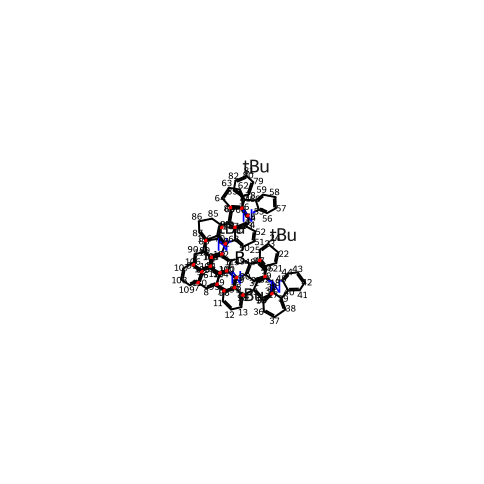 CC(C)(C)C1=CC=C(c2cccc(-c3cccc(-c4cccc(-c5ccc(C(C)(C)C)cc5)c4)c3N3c4cc(-n5c6ccccc6c6ccccc65)ccc4B4c5ccc(-n6c7ccccc7c7ccccc76)cc5N(C5=C(c6cccc(-c7ccc(C(C)(C)C)cc7)c6)CCC=C5C5C=CC=C(c6ccc(C(C)(C)C)cc6)C5)c5cc(-c6ccccc6)cc3c54)c2)CC1